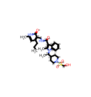 CCCc1cc(C)[nH]c(=O)c1CNC(=O)c1c(C)n([C@H](C)C2CCN(S(=O)(=O)CO)CC2)c2ccccc12